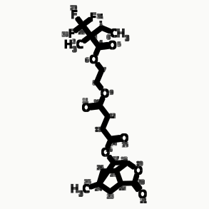 CCC(C)(C(=O)OCCOC(=O)CCC(=O)OC1C2OC(=O)C3CC1(C)CC32)C(F)(F)F